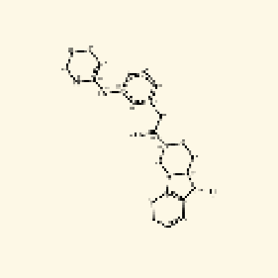 CC[C@@H]1C2=C(CCC=C2)C2CN(C(=O)Cc3cccc(NC4=NCCCN4)c3)CCC21